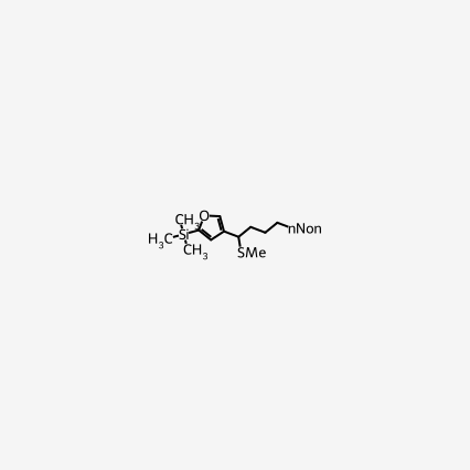 CCCCCCCCCCCCC(SC)c1coc([Si](C)(C)C)c1